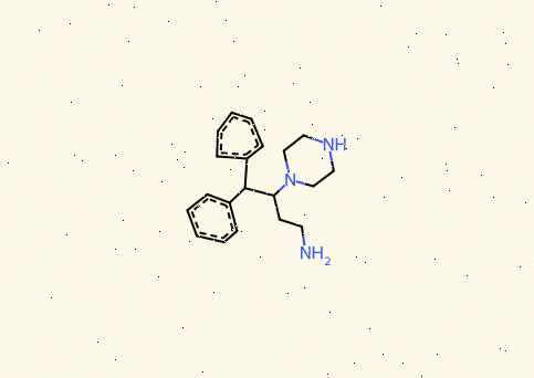 NCCC(C(c1ccccc1)c1ccccc1)N1CCNCC1